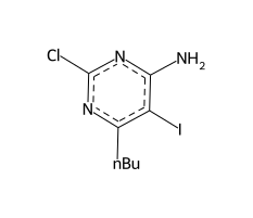 CCCCc1nc(Cl)nc(N)c1I